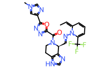 C/C=C1/C=CC=C(C(F)(F)F)N1/N=C/[C@H]1c2nc[nH]c2CCN1C(=O)c1nnc(-c2cn(C)cn2)o1